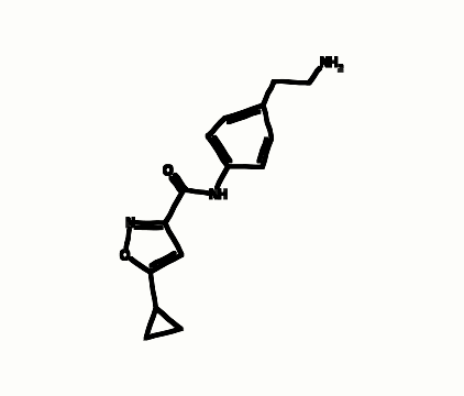 NCCc1ccc(NC(=O)c2cc(C3CC3)on2)cc1